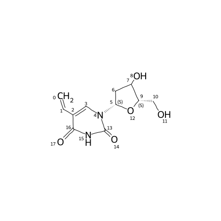 C=Cc1cn([C@@H]2CC(O)[C@H](CO)O2)c(=O)[nH]c1=O